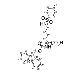 Cc1ccc(S(=O)(=O)NCCCC[C@H](NC(=O)OCC2c3ccccc3-c3ccccc32)C(=O)O)cc1